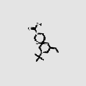 CCC1CN(C(C)(C)C)CC2(CCN(C(=O)O)CO2)C1